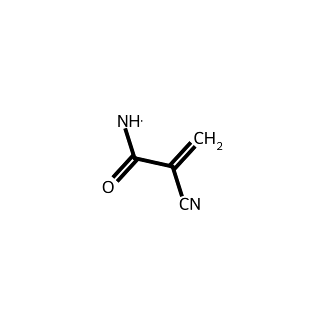 C=C(C#N)C([NH])=O